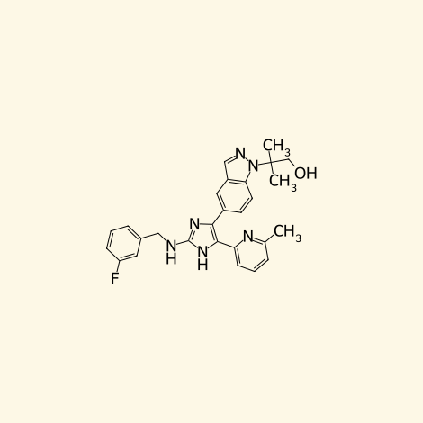 Cc1cccc(-c2[nH]c(NCc3cccc(F)c3)nc2-c2ccc3c(cnn3C(C)(C)CO)c2)n1